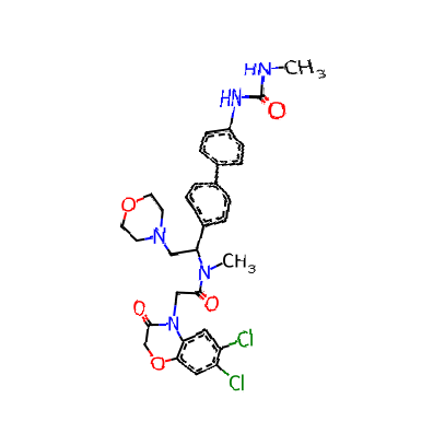 CNC(=O)Nc1ccc(-c2ccc(C(CN3CCOCC3)N(C)C(=O)CN3C(=O)COc4cc(Cl)c(Cl)cc43)cc2)cc1